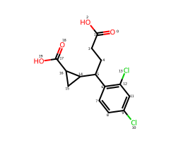 O=C(O)CCC(c1ccc(Cl)cc1Cl)C1CC1C(=O)O